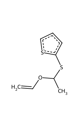 C=COC(C)Sc1cccs1